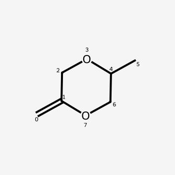 C=C1COC(C)CO1